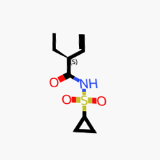 C=C[C@H](CC)C(=O)NS(=O)(=O)C1CC1